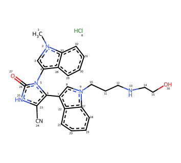 Cl.Cn1cc(-n2c(-c3cn(CCCNCCO)c4ccccc34)c(C#N)[nH]c2=O)c2ccccc21